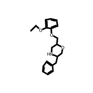 CCOc1ccccc1OCC1CNC(Cc2ccccc2)CO1